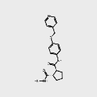 O=C(NO)[C@H]1CCC[C@@H]1C(=O)Nc1ccc(OCc2ccncc2)cc1